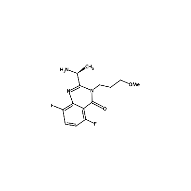 COCCCn1c([C@H](C)N)nc2c(F)ccc(F)c2c1=O